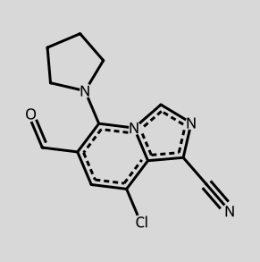 N#Cc1ncn2c(N3CCCC3)c(C=O)cc(Cl)c12